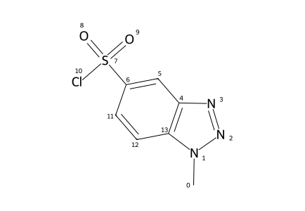 Cn1nnc2cc(S(=O)(=O)Cl)ccc21